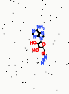 [N-]=[N+]=NOC[C@H]1O[C@@H](n2cnc3c(N)ncnc32)[C@H](O)[C@@H]1O